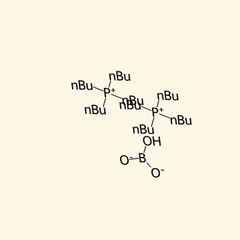 CCCC[P+](CCCC)(CCCC)CCCC.CCCC[P+](CCCC)(CCCC)CCCC.[O-]B([O-])O